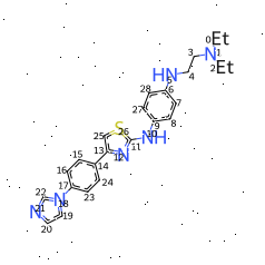 CCN(CC)CCNc1ccc(Nc2nc(-c3ccc(-n4ccnc4)cc3)cs2)cc1